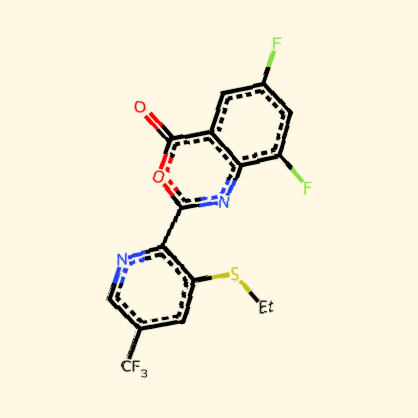 CCSc1cc(C(F)(F)F)cnc1-c1nc2c(F)cc(F)cc2c(=O)o1